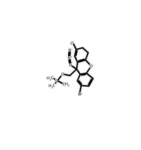 C[Si](C)(C)OCC1(N=[N+]=[N-])C2=C(CCC(Cl)=C2)Oc2ccc(Br)cc21